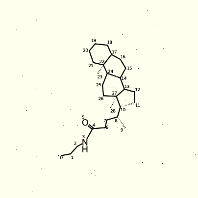 [CH2]CCNC(=O)CC[C@@H](C)[C@H]1CCC2C3CCC4CCCC[C@]4(C)C3CC[C@@]21C